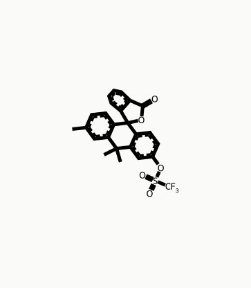 Cc1ccc2c(c1)C(C)(C)c1cc(OS(=O)(=O)C(F)(F)F)ccc1C21OC(=O)c2ccccc21